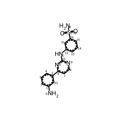 Nc1cccc(-c2ccnc(Nc3cccc(S(N)(=O)=O)c3)n2)c1